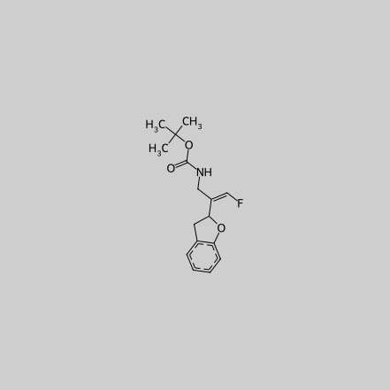 CC(C)(C)OC(=O)NC/C(=C/F)C1Cc2ccccc2O1